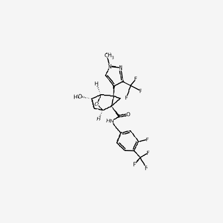 Cn1cc([C@@]23C[C@]2(C(=O)Nc2ccc(C(F)(F)F)c(F)c2)[C@H]2C[C@H](O)[C@@H]3O2)c(C(F)(F)F)n1